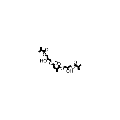 C=C(C)C(=O)OCC(O)COC(=O)CC(=C)C(=O)OCC(O)COC(=O)C(=C)C